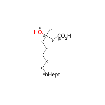 CCCCCCCCCCCCC(C)(O)CC(=O)O